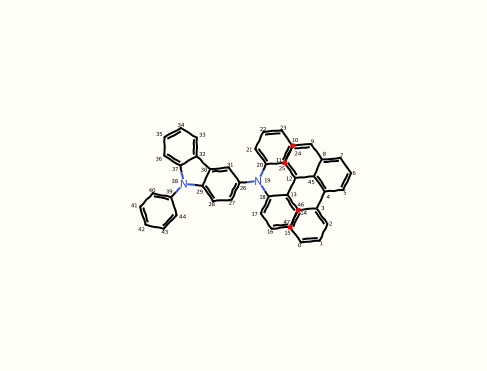 c1ccc(-c2cccc3cccc(-c4ccccc4N(c4ccccc4)c4ccc5c(c4)c4ccccc4n5-c4ccccc4)c23)cc1